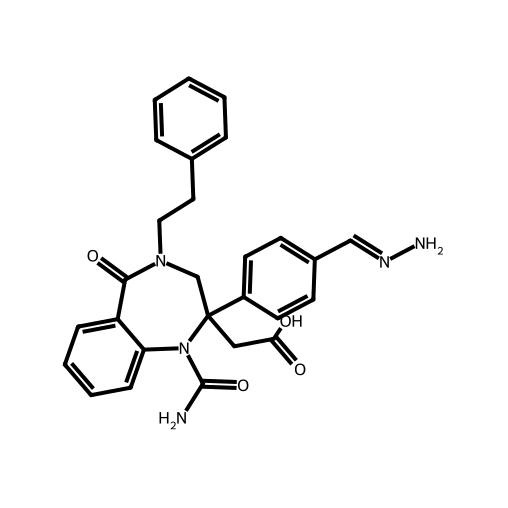 NN=Cc1ccc(C2(CC(=O)O)CN(CCc3ccccc3)C(=O)c3ccccc3N2C(N)=O)cc1